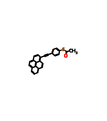 CC(=O)Sc1ccc(C#Cc2ccc3ccc4cccc5ccc2c3c45)cc1